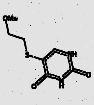 COCCSc1c[nH]c(=O)[nH]c1=O